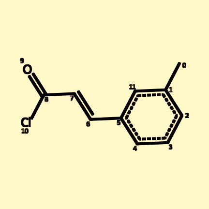 Cc1cccc(C=CC(=O)Cl)c1